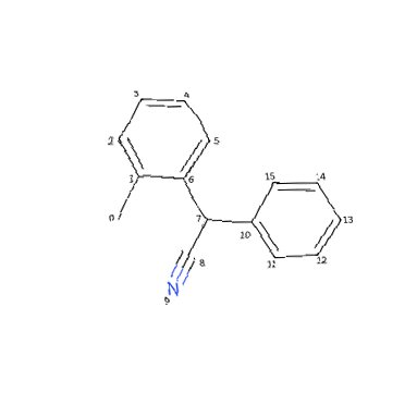 Cc1ccccc1C(C#N)c1ccccc1